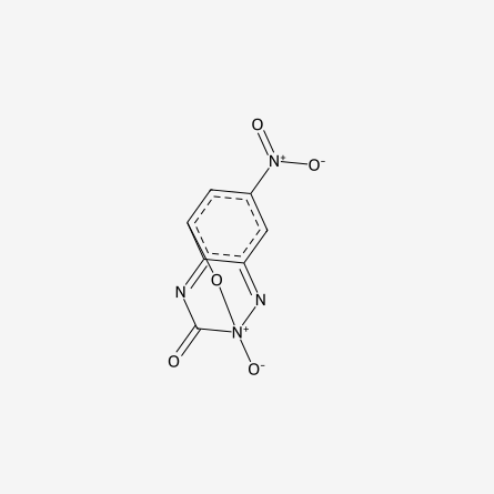 O=C1N=c2c3cc([N+](=O)[O-])cc2=N[N+]1([O-])O3